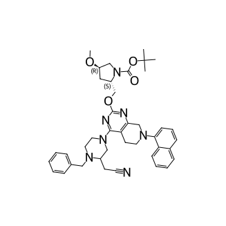 CO[C@@H]1C[C@@H](COc2nc3c(c(N4CCN(Cc5ccccc5)C(CC#N)C4)n2)CCN(c2cccc4ccccc24)C3)N(C(=O)OC(C)(C)C)C1